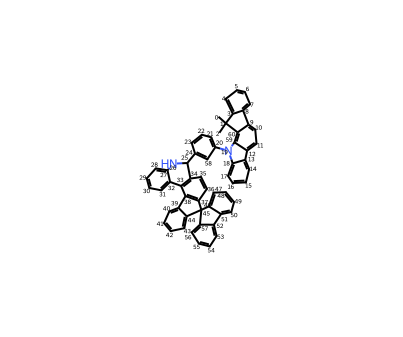 CC1(C)c2ccccc2-c2ccc3c4ccccc4n(-c4cccc(C5Nc6ccccc6-c6c5ccc5c6-c6ccccc6C56c5ccccc5-c5ccccc56)c4)c3c21